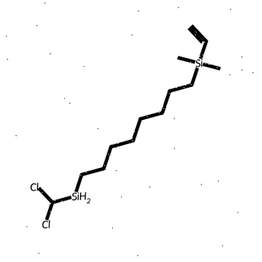 C=C[Si](C)(C)CCCCCCCC[SiH2]C(Cl)Cl